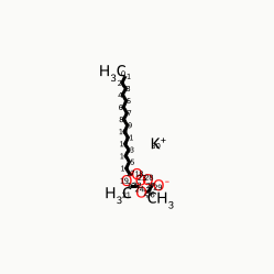 CCCCCCCCCCCCCCCCCC(=O)OC(C)C(=O)OC(C)C(=O)[O-].[K+]